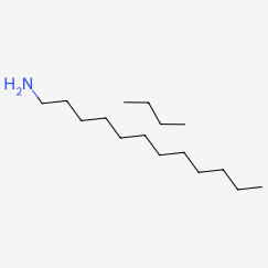 CCCC.CCCCCCCCCCCCN